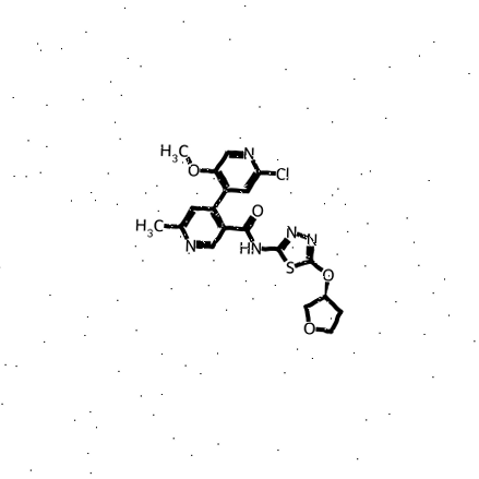 COc1cnc(Cl)cc1-c1cc(C)ncc1C(=O)Nc1nnc(O[C@H]2CCOC2)s1